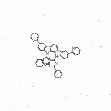 c1ccc(-c2cc(-c3ccccc3)nc(-n3c4ccc(-c5ccccn5)cc4c4ccc5c6cc(-c7ccccn7)ccc6n(-c6ccccc6)c5c43)n2)cc1